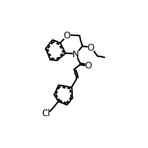 CCOC1COc2ccccc2N1C(=O)/C=C/c1ccc(Cl)cc1